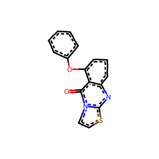 O=c1c2c(Oc3ccccc3)cccc2nc2sccn12